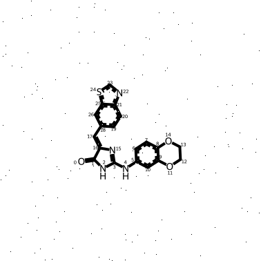 O=C1NC(Nc2ccc3c(c2)OCCO3)=N/C1=C\c1ccc2ncsc2c1